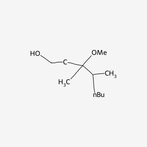 CCCCC(C)C(C)(CCO)OC